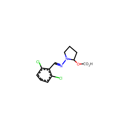 O=C(O)OC1CCCN1N=Cc1c(Cl)cccc1Cl